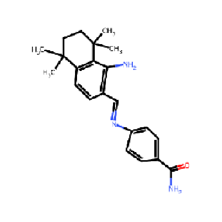 CC1(C)CCC(C)(C)c2c1ccc(C=Nc1ccc(C(N)=O)cc1)c2N